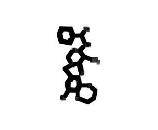 CCC(NCC(C)C(=O)N(Cc1cc(Cl)c2c(c1)OCCCO2)CC(C)C)c1ccccc1